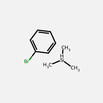 Brc1ccccc1.C[SiH](C)C